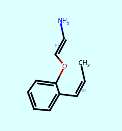 C/C=C\c1ccccc1O/C=C/N